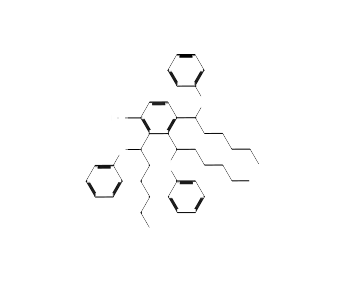 CCCCCC(Oc1ccccc1)c1ccc(O)c(C(CCCCC)Oc2ccccc2)c1C(CCCCC)Oc1ccccc1